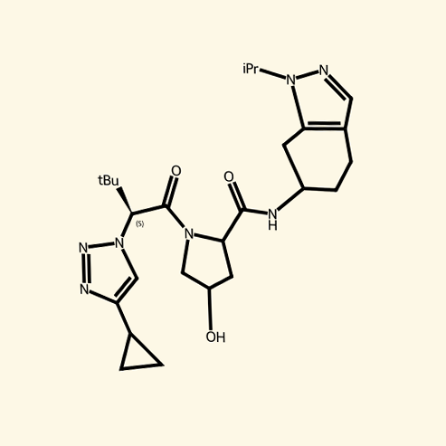 CC(C)n1ncc2c1CC(NC(=O)C1CC(O)CN1C(=O)[C@@H](n1cc(C3CC3)nn1)C(C)(C)C)CC2